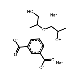 CC(O)COC(C)CO.O=C([O-])c1cccc(C(=O)[O-])c1.[Na+].[Na+]